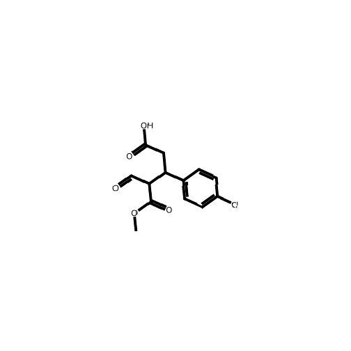 COC(=O)C(C=O)C(CC(=O)O)c1ccc(Cl)cc1